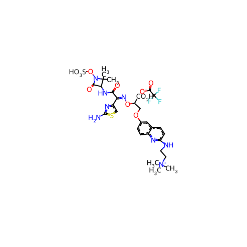 CC1(C)C(NC(=O)C(=NOC(COc2ccc3nc(NCC[N+](C)(C)C)ccc3c2)C(=O)O)c2csc(N)n2)C(=O)N1OS(=O)(=O)O.O=C([O-])C(F)(F)F